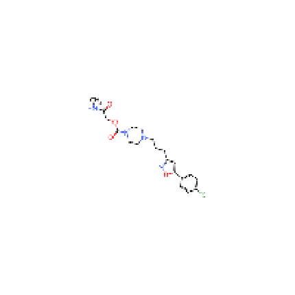 CNC(=O)COC(=O)N1CCN(CCCc2cc(-c3ccc(Cl)cc3)on2)CC1